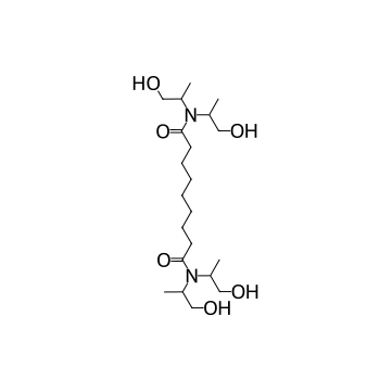 CC(CO)N(C(=O)CCCCCCCC(=O)N(C(C)CO)C(C)CO)C(C)CO